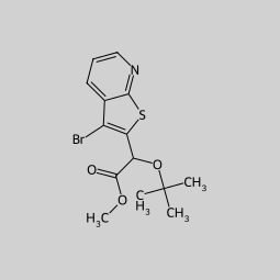 COC(=O)C(OC(C)(C)C)c1sc2ncccc2c1Br